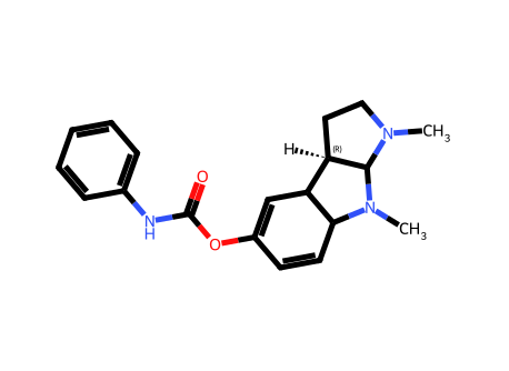 CN1CC[C@@H]2C3C=C(OC(=O)Nc4ccccc4)C=CC3N(C)C21